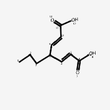 CCCC(C=CC(=O)O)C=CC(=O)O